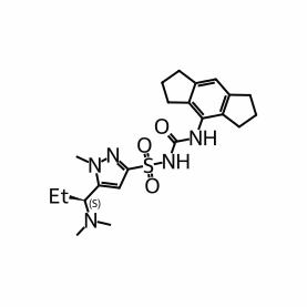 CC[C@@H](c1cc(S(=O)(=O)NC(=O)Nc2c3c(cc4c2CCC4)CCC3)nn1C)N(C)C